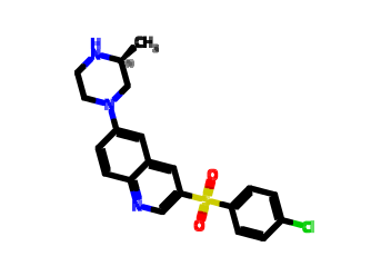 C[C@H]1CN(c2ccc3ncc(S(=O)(=O)c4ccc(Cl)cc4)cc3c2)CCN1